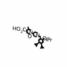 Cc1cn(C2CCN(Cc3cc(C4CC4)c(C4CC4)cc3OC(C)C)CC2)c(=O)cc1C(=O)O